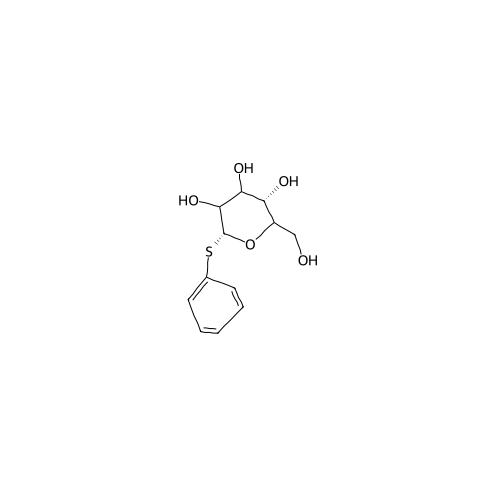 OCC1O[C@H](Sc2ccccc2)C(O)C(O)[C@@H]1O